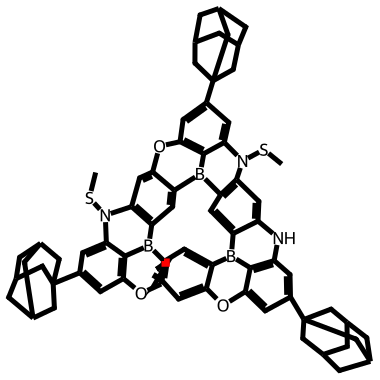 CSN1c2cc3c(cc2B2c4cc5c(cc4Oc4cc(C67CC8CC(CC(C8)C6)C7)cc1c42)N(SC)c1cc(C24CC6CC(CC(C6)C2)C4)cc2c1B5c1ccccc1O2)B1c2ccccc2Oc2cc(C45CC6CC(CC(C6)C4)C5)cc(c21)N3